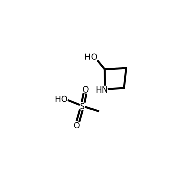 CS(=O)(=O)O.OC1CCN1